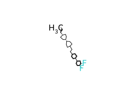 C/C=C/[C@H]1CC[C@H](C2CCC(CCc3ccc(-c4ccc(F)c(F)c4)cc3)CC2)CC1